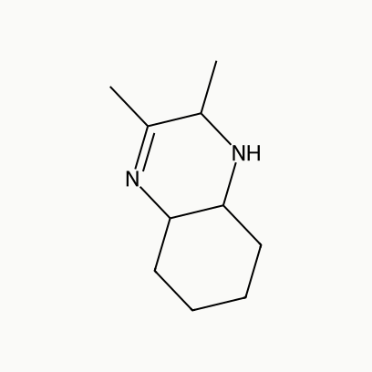 CC1=NC2CCCCC2NC1C